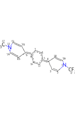 FC(F)(F)N1C=CC(=c2ccc(=C3C=CN(C(F)(F)F)C=C3)cc2)C=C1